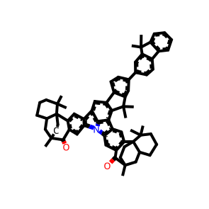 CC12CCC3(c4cc5c6cc7c(c8c9cc%10c(cc9n(c5cc4C1=O)c68)C(=O)C1(C)CCC%104C(CCCC4(C)C)C1)C(C)(C)c1cc(-c4ccc5c(c4)C(C)(C)c4ccccc4-5)ccc1-7)C(CCCC3(C)C)C2